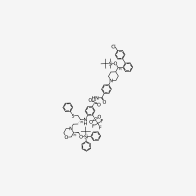 CC(C)(C)[Si](C)(C)O[C@@H](c1ccccc1-c1ccc(Cl)cc1)C1CCN(c2ccc(C(=O)NS(=O)(=O)c3ccc(N[C@H](CCN4CCOC[C@@H]4CO[Si](c4ccccc4)(c4ccccc4)C(C)(C)C)CSc4ccccc4)c(S(=O)(=O)C(F)(F)F)c3)cc2)CC1